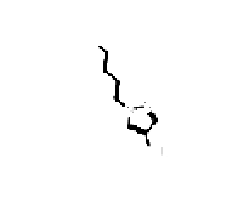 Cc1cnn(CCCCO)c1